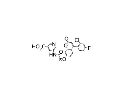 C[C@@H](Oc1ccc2c(-c3ccc(F)cc3Cl)cc(=O)oc2c1)C(=O)Nc1cncc(C(=O)O)c1